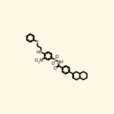 O=C(NS(=O)(=O)c1ccc(NCCSc2ccccc2)c([N+](=O)[O-])c1)c1ccc(C2=CCC3CCCCC3C2)cc1